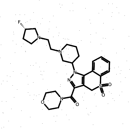 O=C(c1nn(C2CCCN(CCN3CC[C@H](F)C3)C2)c2c1CS(=O)(=O)c1ccccc1-2)N1CCOCC1